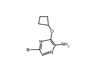 Nc1ncc(Br)nc1OC1CCC1